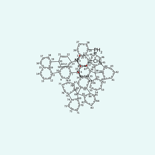 Cc1cccc(N(c2ccc(-c3cccc4cccc(C5C=CC(N(c6cccc(P)c6)c6ccc7c(c6)C6(c8ccccc8-c8ccccc86)c6ccccc6-7)=CC5)c34)cc2)c2ccc3c(c2)C2(c4ccccc4-c4ccccc42)c2ccccc2-3)c1